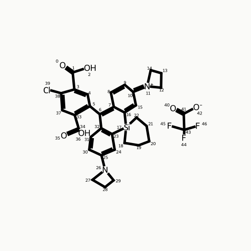 O=C(O)c1cc(C2=C3C=CC(=[N+]4CCC4)C=C3[Si]3(CCCCC3)c3cc(N4CCC4)ccc32)c(C(=O)O)cc1Cl.O=C([O-])C(F)(F)F